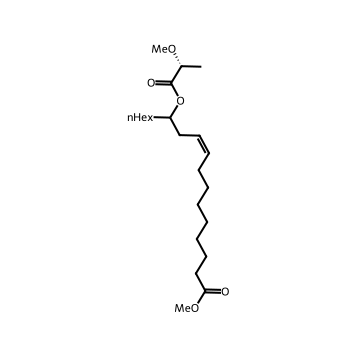 CCCCCCC(C/C=C\CCCCCCCC(=O)OC)OC(=O)[C@@H](C)OC